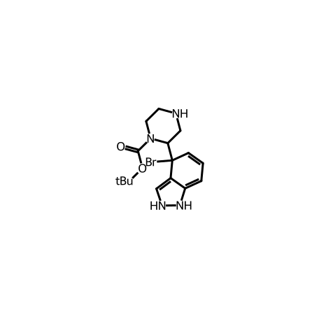 CC(C)(C)OC(=O)N1CCNCC1C1(Br)C=CC=C2NNC=C21